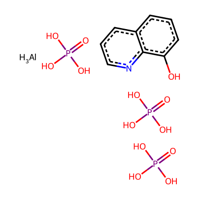 O=P(O)(O)O.O=P(O)(O)O.O=P(O)(O)O.Oc1cccc2cccnc12.[AlH3]